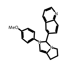 COc1ccc(N2C=C3CCCN3C2c2ccc3ncccc3c2)cc1